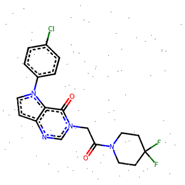 O=C(Cn1cnc2ccn(-c3ccc(Cl)cc3)c2c1=O)N1CCC(F)(F)CC1